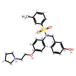 Cc1cccc(S(=O)(=O)N(Cc2cccc(O)c2)c2ccc(OCCN3CCCC3)cc2)c1